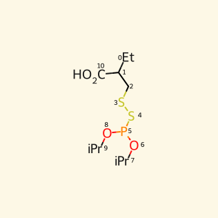 CCC(CSSP(OC(C)C)OC(C)C)C(=O)O